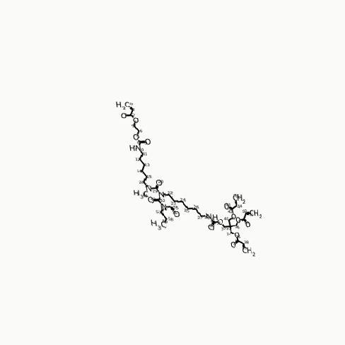 C=CC(=O)OCCOC(=O)NCCCCCCN(C)C(=O)N(CCCCCCNC(=O)OCC(COC(=O)C=C)(COC(=O)C=C)COC(=O)C=C)C(=O)N(C=O)CCC